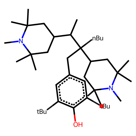 CCCCC(Cc1cc(C(C)(C)C)c(O)c(C(C)(C)C)c1)(C1CC(C)(C)N(C)C(C)(C)C1)C(C)C1CC(C)(C)N(C)C(C)(C)C1